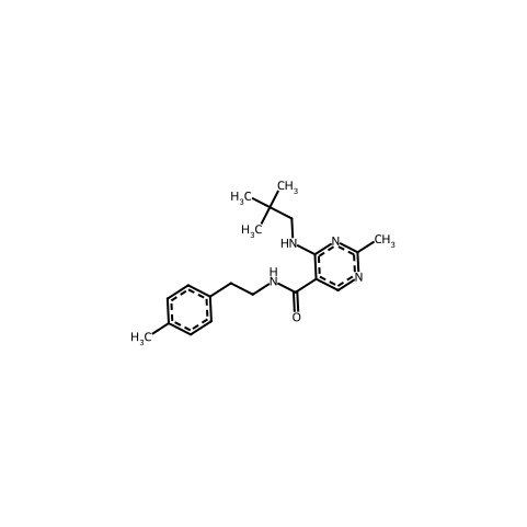 Cc1ccc(CCNC(=O)c2cnc(C)nc2NCC(C)(C)C)cc1